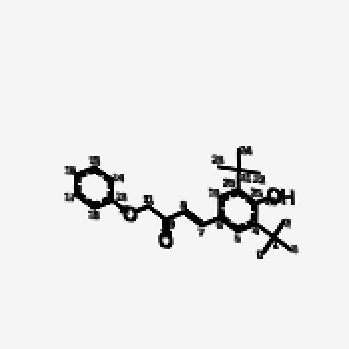 CC(C)(C)c1cc(C=CC(=O)COc2ccccc2)cc(C(C)(C)C)c1O